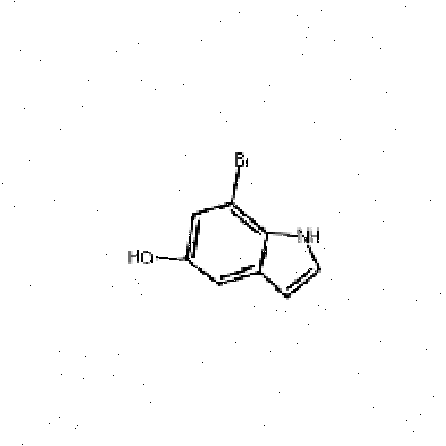 Oc1cc(Br)c2[nH]ccc2c1